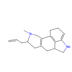 C=CCC1CC2=C(CN1C)C1=C3C(=CCC1)NCC3C2